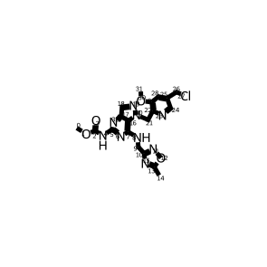 COC(=O)Nc1nc(NCc2noc(C)n2)c2c(cnn2Cc2ncc(CCl)cc2OC)n1